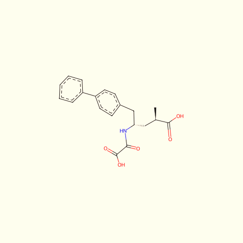 C[C@H](C[C@@H](Cc1ccc(-c2ccccc2)cc1)NC(=O)C(=O)O)C(=O)O